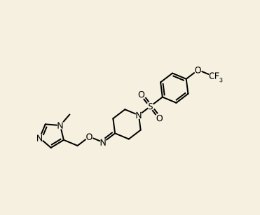 Cn1cncc1CON=C1CCN(S(=O)(=O)c2ccc(OC(F)(F)F)cc2)CC1